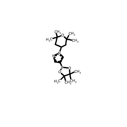 CC1(C)CC(n2cc(B3OC(C)(C)C(C)(C)O3)cn2)CC(C)(C)O1